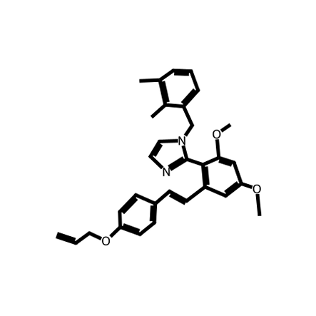 C=CCOc1ccc(C=Cc2cc(OC)cc(OC)c2-c2nccn2Cc2cccc(C)c2C)cc1